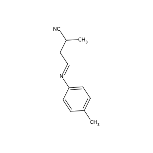 Cc1ccc(N=CCC(C)C#N)cc1